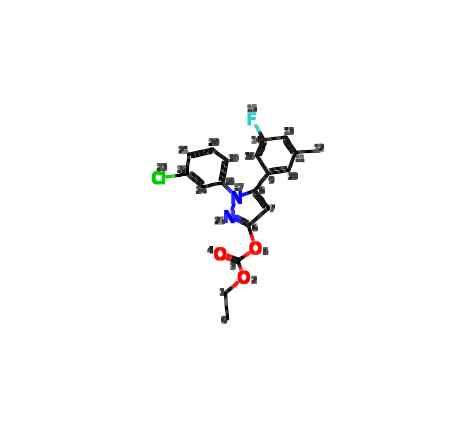 CCOC(=O)Oc1cc(-c2cc(C)cc(F)c2)n(-c2cccc(Cl)c2)n1